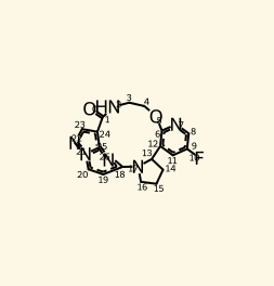 O=C1NCCOc2ncc(F)cc2C2CCCN2c2ccn3ncc1c3n2